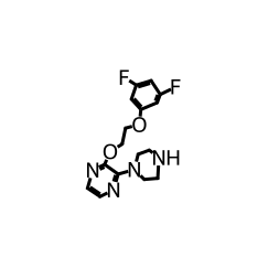 Fc1cc(F)cc(OCCOc2nccnc2N2CCNCC2)c1